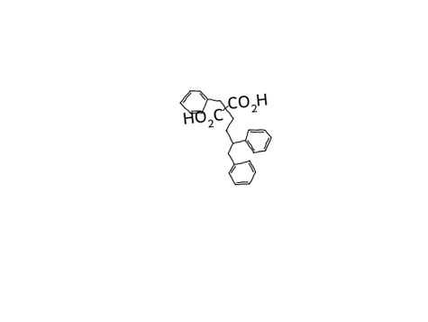 O=C(O)C(CCC(Cc1ccccc1)c1ccccc1)(Cc1ccccc1)C(=O)O